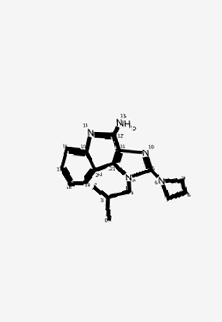 CC(C)Cn1c(N2CCC2)nc2c(N)nc3ccccc3c21